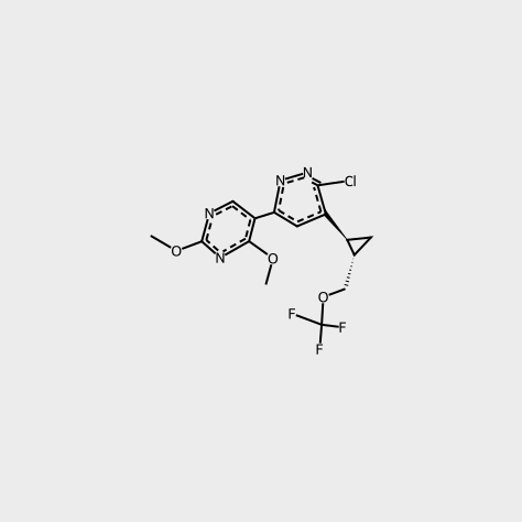 COc1ncc(-c2cc([C@H]3C[C@@H]3COC(F)(F)F)c(Cl)nn2)c(OC)n1